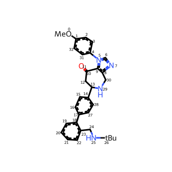 COc1ccc(-n2cnc3c2C(=O)CC(c2ccc(-c4ccccc4CNC(C)(C)C)cc2)NC3)cc1